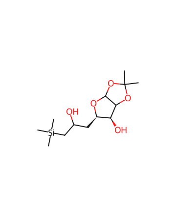 CC1(C)OC2O[C@H](CC(O)C[Si](C)(C)C)[C@H](O)C2O1